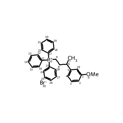 COc1cccc(C(C)CC[P+](c2ccccc2)(c2ccccc2)c2ccccc2)c1.[Br-]